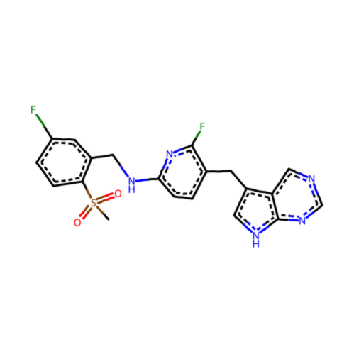 CS(=O)(=O)c1ccc(F)cc1CNc1ccc(Cc2c[nH]c3ncncc23)c(F)n1